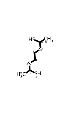 CC(S)SCCSC(C)S